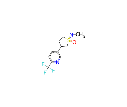 CN=S1(=O)CCC(c2ccc(C(F)(F)F)nc2)C1